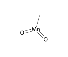 [CH3][Mn](=[O])=[O]